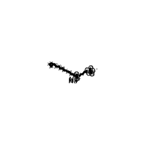 O=C(OCCCCCS(=O)(=O)CCCCCCCCCCCCC1CCC1)P(=O)([O-])[O-].[Na+].[Na+]